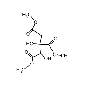 COC(=O)CC(O)(C(=O)OC)C(O)C(=O)OC